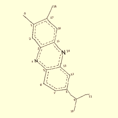 Cc1cc2nc3ccc(C(C)C)cc3nc2cc1C